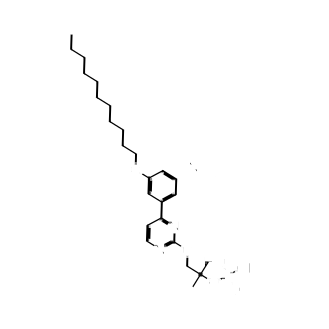 CCCCCCCCCCCOc1cccc(-c2ccnc(OCC(C)(C)OP(=O)(O)O)n2)c1.N